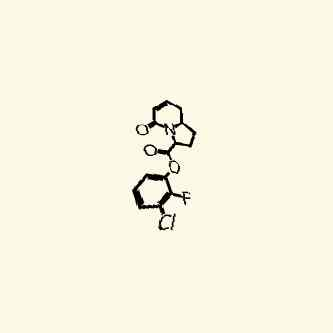 O=C(Oc1cccc(Cl)c1F)C1CCC2CC=CC(=O)N21